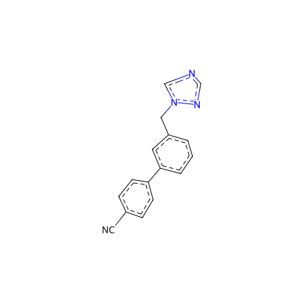 N#Cc1ccc(-c2cccc(Cn3cncn3)c2)cc1